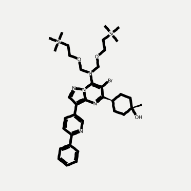 C[C@@]1(O)[CH]C[C@@H](c2nc3c(-c4ccc(-c5ccccc5)nc4)cnn3c(N(COCC[Si](C)(C)C)COCC[Si](C)(C)C)c2Br)CC1